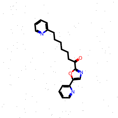 O=C(CCCCCCc1ccccn1)c1ncc(-c2ccccn2)o1